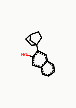 Oc1cc2ccccc2cc1C12CCC(CC1)C2